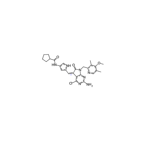 COc1c(C)cnc(CN2C(=O)/C(=C\c3cc(NC(=O)C4CCCC4)c[nH]3)c3c(Cl)nc(N)nc32)c1C